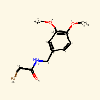 COc1ccc(CNC(=O)CBr)cc1OC